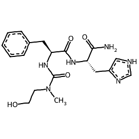 CN(CCO)C(=O)N[C@@H](Cc1ccccc1)C(=O)N[C@@H](Cc1c[nH]cn1)C(N)=O